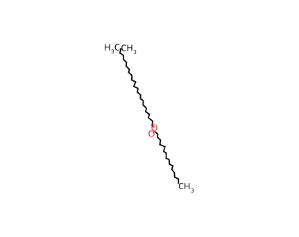 CCCCCCCCCCCCCCCCCC(=O)OCCCCCCCCCCCCCCCCCCCCCCCC(C)C